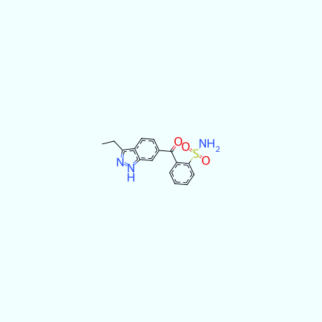 CCc1n[nH]c2cc(C(=O)c3ccccc3S(N)(=O)=O)ccc12